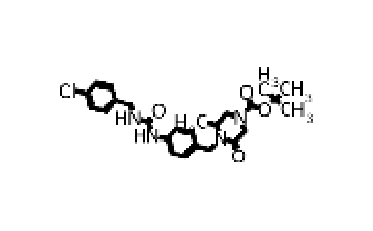 CC1CN(C(=O)OC(C)(C)C)CC(=O)N1Cc1ccc(NC(=O)NCc2ccc(Cl)cc2)cc1